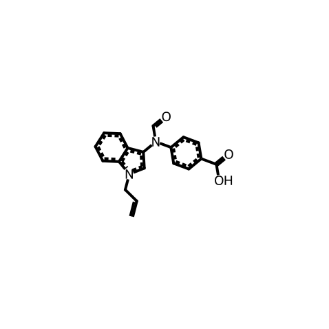 C=CCn1cc(N(C=O)c2ccc(C(=O)O)cc2)c2ccccc21